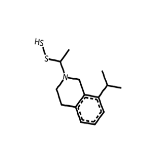 CC(C)c1cccc2c1CN(C(C)SS)CC2